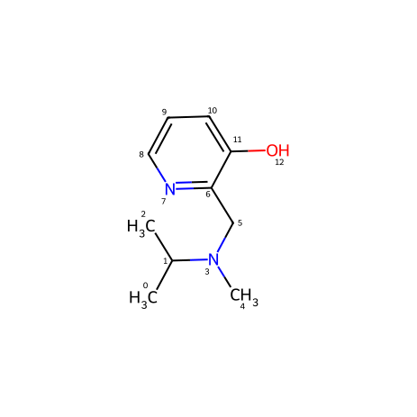 CC(C)N(C)Cc1ncccc1O